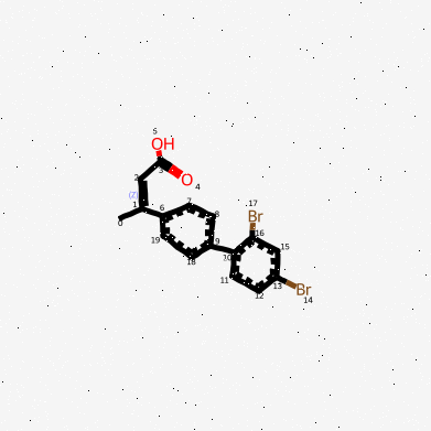 C/C(=C/C(=O)O)c1ccc(-c2ccc(Br)cc2Br)cc1